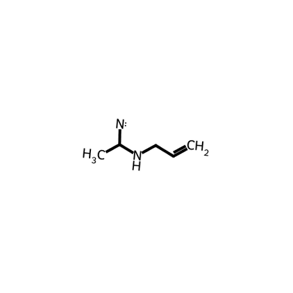 C=CCNC(C)[N]